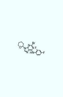 Fc1ccc(Nc2nc(Br)nc3c2ncn3C2CCCCO2)c(F)c1